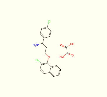 NC(CCOc1c(Cl)ccc2ccccc12)c1ccc(Cl)cc1.O=C(O)C(=O)O